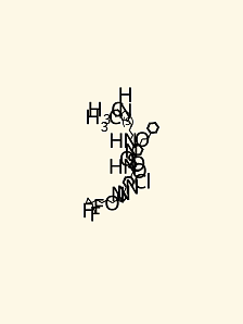 CC1(C)C[C@H](CCCNc2nc(S(=O)(=O)NC(=O)c3ccc(-n4ccc(OCCCC5(C(F)(F)F)CC5)n4)nc3Cl)ccc2OCc2ccccc2)CN1